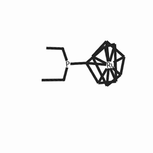 CCP(CC)[C]12[CH]3[CH]4[CH]5[CH]1[Ru]45321678[CH]2[CH]1[CH]6[CH]7[CH]28